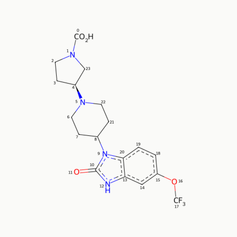 O=C(O)N1CC[C@H](N2CCC(n3c(=O)[nH]c4cc(OC(F)(F)F)ccc43)CC2)C1